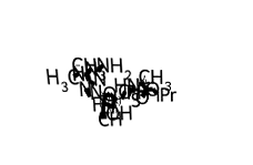 C#C[C@@]1(F)[C@H](O)[C@@H](CO[PH](=S)N[C@H](C)C(=O)OC(C)C)O[C@H]1n1cnc2c(N(C)C)nc(N)nc21